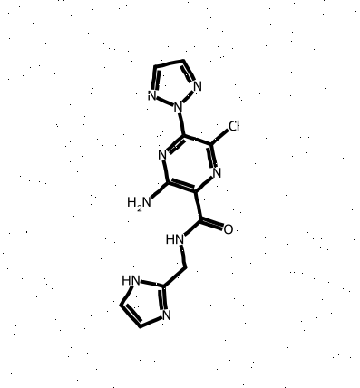 Nc1nc(-n2nccn2)c(Cl)nc1C(=O)NCc1ncc[nH]1